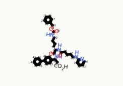 O=C(O)CC(NC(=O)[C@H](CCCCNC(=O)OCc1ccccc1)NC(=O)CCCCNc1ccccn1)c1ccc(-c2ccccc2)cc1